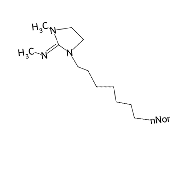 CCCCCCCCCCCCCCCCN1CCN(C)/C1=N\C